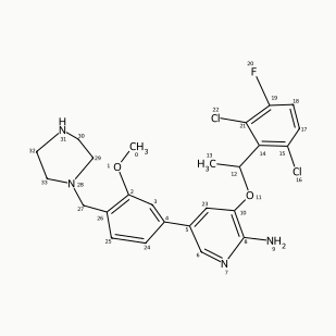 COc1cc(-c2cnc(N)c(OC(C)c3c(Cl)ccc(F)c3Cl)c2)ccc1CN1CCNCC1